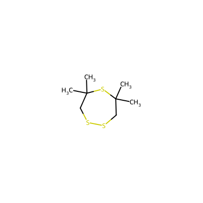 CC1(C)CSSCC(C)(C)S1